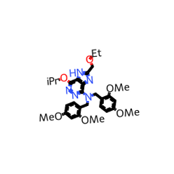 CCOCc1nc2c(N(Cc3ccc(OC)cc3OC)Cc3ccc(OC)cc3OC)nnc(OC(C)C)c2[nH]1